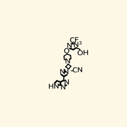 N#CC[C@]1(n2cc(-c3ncnc4[nH]ccc34)cn2)C[C@@H](N2CCC(Oc3cc(CO)nc(C(F)(F)F)n3)CC2)C1